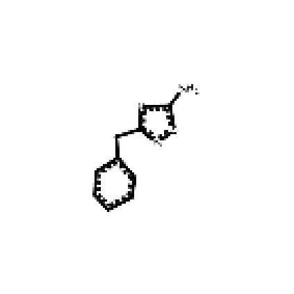 Nc1nc(Cc2ccccc2)ns1